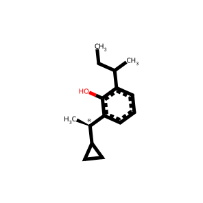 CCC(C)c1cccc([C@H](C)C2CC2)c1O